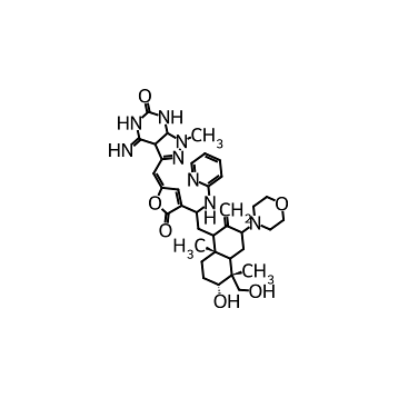 C=C1C(N2CCOCC2)CC2[C@](C)(CC[C@@H](O)[C@@]2(C)CO)C1CC(Nc1ccccn1)C1=C/C(=C\C2=NN(C)C3NC(=O)NC(=N)C23)OC1=O